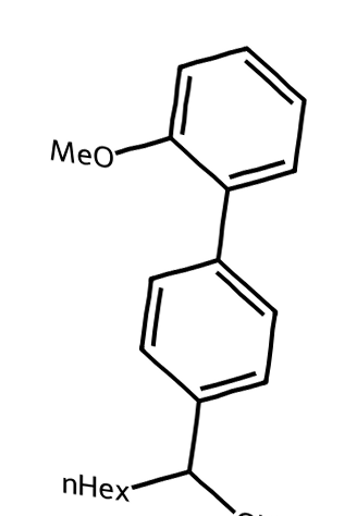 CCCCCCC(O)c1ccc(-c2ccccc2OC)cc1